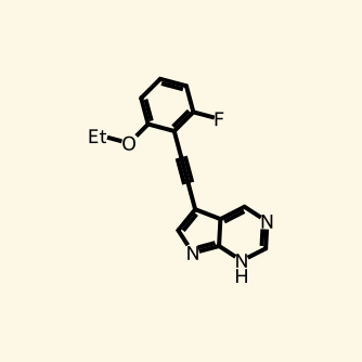 CCOc1cccc(F)c1C#Cc1cnc2[nH]cncc1-2